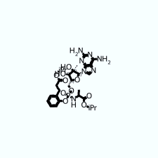 CC(C)OC(=O)CCc1ccccc1OP(=O)(NC(C)C(=O)OC(C)C)OC[C@H]1O[C@@H](n2cnc3c(N)nc(N)nc32)[C@](C)(O)[C@@H]1O